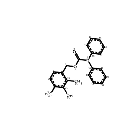 Cc1ccc(COC(=O)N(c2ccccc2)c2ccccc2)c(C)c1O